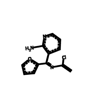 C=C(Cl)/N=C(/c1ccco1)c1cccnc1N